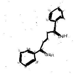 N=C(CCCC(=N)c1ccccc1)c1ccccc1